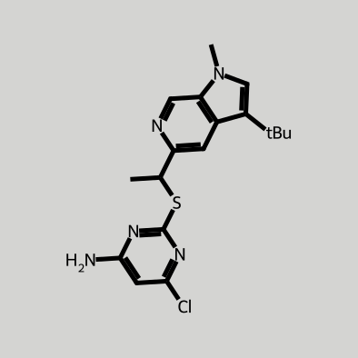 CC(Sc1nc(N)cc(Cl)n1)c1cc2c(C(C)(C)C)cn(C)c2cn1